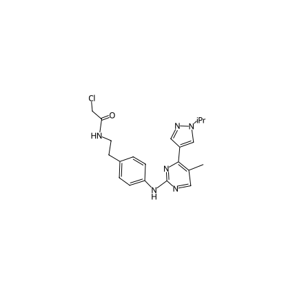 Cc1cnc(Nc2ccc(CCNC(=O)CCl)cc2)nc1-c1cnn(C(C)C)c1